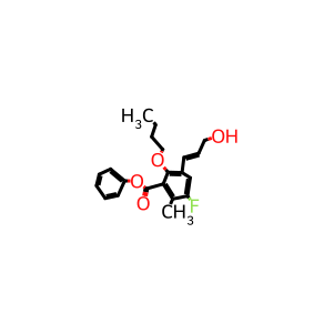 CCCCOc1c(/C=C/CO)cc(F)c(C)c1C(=O)Oc1ccccc1